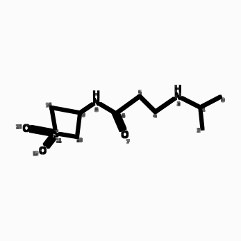 CC(C)NCCC(=O)NC1CS(=O)(=O)C1